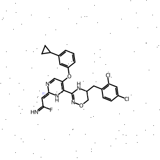 N=C(F)/C=C1/N=CC(Oc2cccc(C3CC3)c2)=C(C2=NOCC(Cc3ccc(Cl)cc3Cl)N2)N1